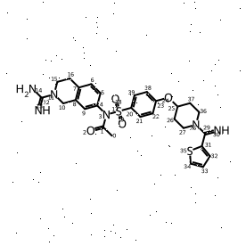 CC(=O)N(c1ccc2c(c1)CN(C(=N)N)CC2)S(=O)(=O)c1ccc(OC2CCN(C(=N)c3cccs3)CC2)cc1